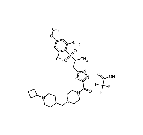 COc1cc(C)c(S(=O)(=O)N(C)Cc2nnc(C(=O)N3CCN(CC4CCN(C5CCC5)CC4)CC3)o2)c(C)c1.O=C(O)C(F)(F)F